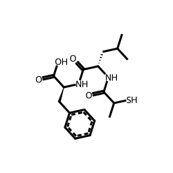 CC(C)C[C@H](NC(=O)C(C)S)C(=O)N[C@@H](Cc1ccccc1)C(=O)O